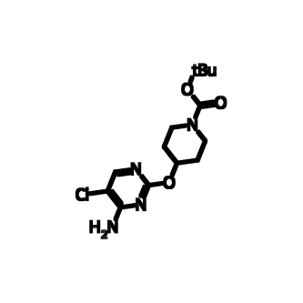 CC(C)(C)OC(=O)N1CCC(Oc2ncc(Cl)c(N)n2)CC1